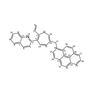 C=CC1=C(c2ccc3ccccc3n2)C=CC(Cc2ccc3ccc4cccc5ccc2c3c45)=CC1